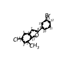 Cc1cc(Cl)cc2cc(-c3cccc(Br)c3)oc12